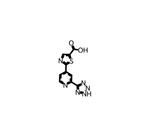 O=C(O)c1cnc(-c2ccnc(-c3nn[nH]n3)c2)s1